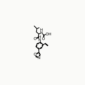 C=Cc1cc(-c2cnco2)ccc1NC(=O)C(CC(C)C)NC(=O)O